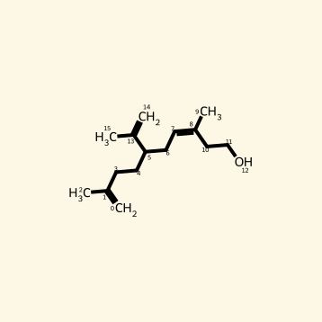 C=C(C)CCC(C/C=C(/C)CCO)C(=C)C